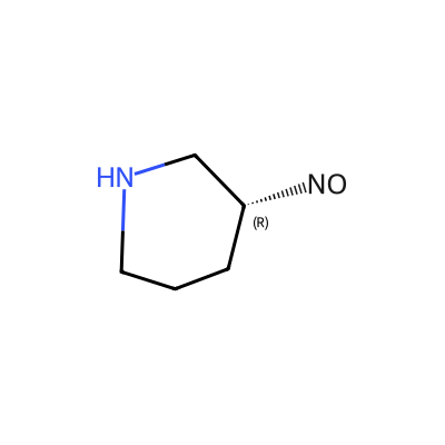 O=N[C@@H]1CCCNC1